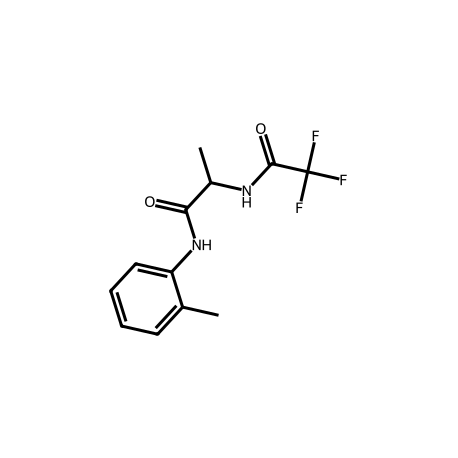 Cc1ccccc1NC(=O)C(C)NC(=O)C(F)(F)F